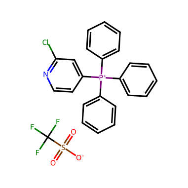 Clc1cc([P+](c2ccccc2)(c2ccccc2)c2ccccc2)ccn1.O=S(=O)([O-])C(F)(F)F